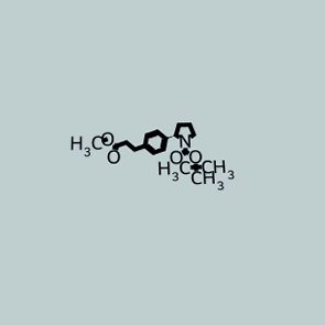 COC(=O)CCc1ccc([C@@H]2CCCN2C(=O)OC(C)(C)C)cc1